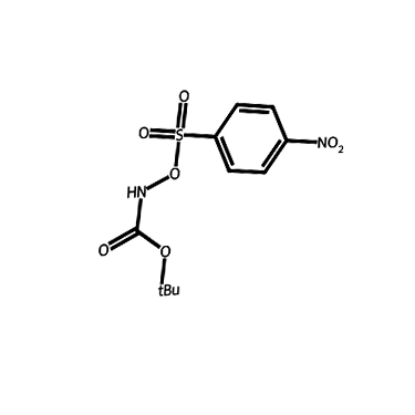 CC(C)(C)OC(=O)NOS(=O)(=O)c1ccc([N+](=O)[O-])cc1